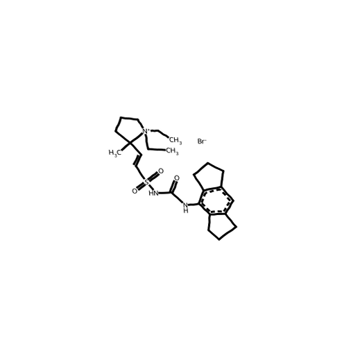 CC[N+]1(CC)CCCC1(C)C=CS(=O)(=O)NC(=O)Nc1c2c(cc3c1CCC3)CCC2.[Br-]